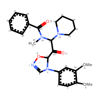 COc1ccc(N2C=NOC2C(=O)C(N2CCCCC2)N(C)C(=O)c2ccccc2)cc1OC